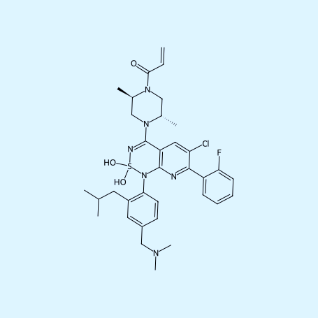 C=CC(=O)N1C[C@H](C)N(C2=NS(O)(O)N(c3ccc(CN(C)C)cc3CC(C)C)c3nc(-c4ccccc4F)c(Cl)cc32)C[C@H]1C